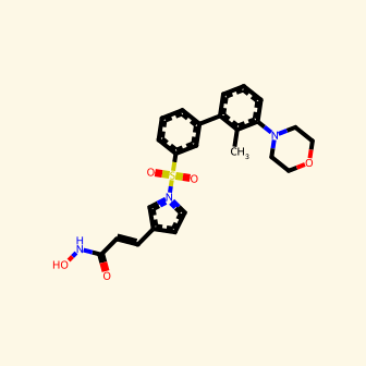 Cc1c(-c2cccc(S(=O)(=O)n3ccc(C=CC(=O)NO)c3)c2)cccc1N1CCOCC1